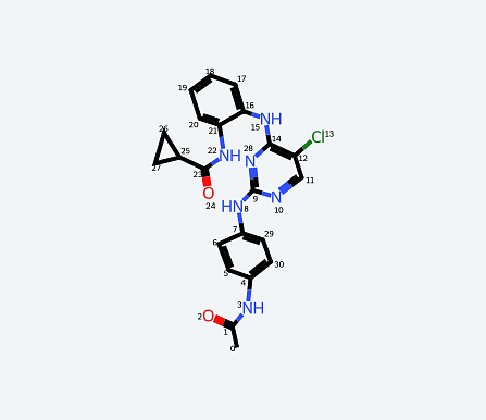 CC(=O)Nc1ccc(Nc2ncc(Cl)c(Nc3ccccc3NC(=O)C3CC3)n2)cc1